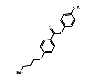 CC[C@H](C)CCCOc1ccc(C(=O)Oc2ccc(C=O)cc2)cc1